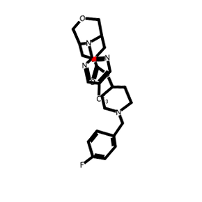 O=C(OC1CCN(Cc2ccc(F)cc2)CC1)N1CC2COCC(C1)N2c1ncc(C(F)(F)F)cn1